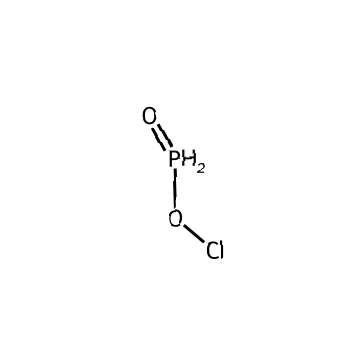 O=[PH2]OCl